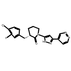 O=C1[C@H](Cc2ccc(Cl)c(F)c2)CCCN1c1cc(-c2ccnnc2)n[nH]1